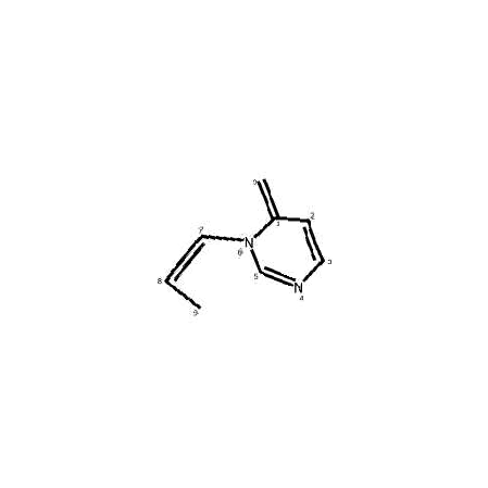 C=C1C=CN=CN1/C=C\C